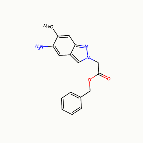 COc1cc2nn(CC(=O)OCc3ccccc3)cc2cc1N